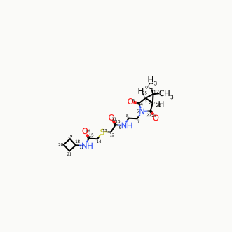 CC1(C)[C@@H]2C(=O)N(CCNC(=O)CSCC(=O)NC3CCC3)C(=O)[C@@H]21